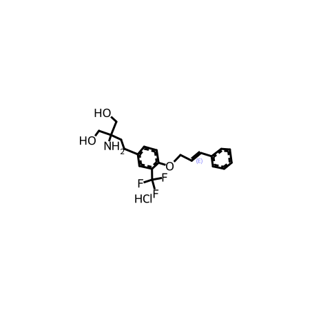 Cl.NC(CO)(CO)CCc1ccc(OC/C=C/c2ccccc2)c(C(F)(F)F)c1